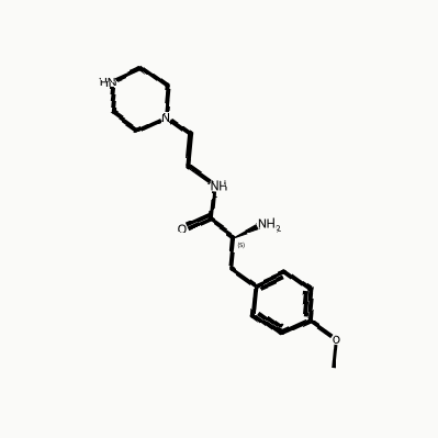 COc1ccc(C[C@H](N)C(=O)NCCN2CCNCC2)cc1